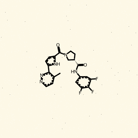 Cc1ccnnc1-c1ccc(C(=O)N2CC[C@H](C(=O)Nc3cc(F)c(F)c(F)c3)C2)[nH]1